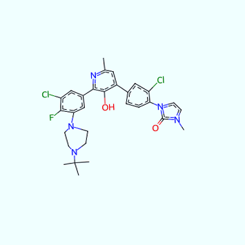 Cc1cc(-c2ccc(-n3ccn(C)c3=O)c(Cl)c2)c(O)c(-c2cc(Cl)c(F)c(N3CCN(C(C)(C)C)CC3)c2)n1